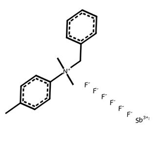 Cc1ccc([N+](C)(C)Cc2ccccc2)cc1.[F-].[F-].[F-].[F-].[F-].[F-].[Sb+3]